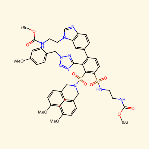 COc1ccc(CN(Cc2ccc(OC)cc2)S(=O)(=O)c2c(S(=O)(=O)NCCNC(=O)OC(C)(C)C)ccc(-c3ccc4ncn(CCNC(=O)OC(C)(C)C)c4c3)c2-c2nnn(Cc3ccc(OC)cc3)n2)cc1